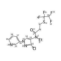 CCN(C(=O)CCSC(F)(F)C(F)F)c1cn(-c2cccnc2)nc1Cl